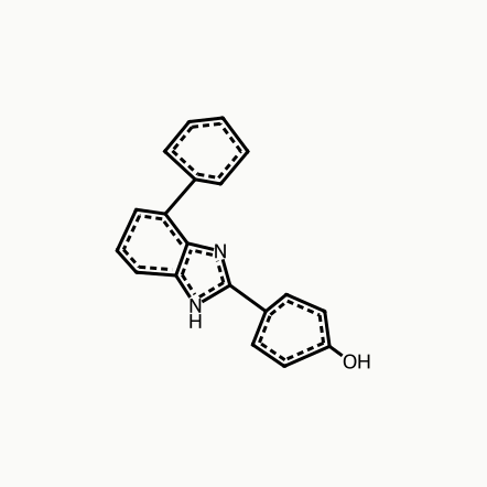 Oc1ccc(-c2nc3c(-c4ccccc4)cccc3[nH]2)cc1